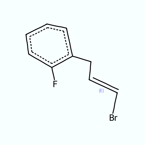 Fc1ccccc1C/C=C/Br